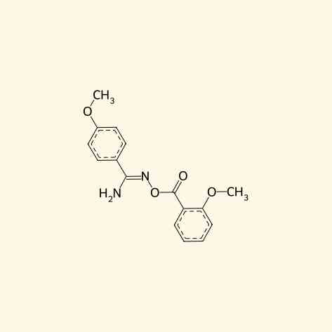 COc1ccc(/C(N)=N/OC(=O)c2ccccc2OC)cc1